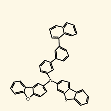 c1cc(-c2cccc(N(c3ccc4c(c3)sc3ccccc34)c3ccc4oc5ccccc5c4c3)c2)cc(-c2cccc3ccccc23)c1